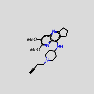 C#CCCN1CCC(Nc2c3c(nc4cc(OC)c(OC)nc24)CCC3)CC1